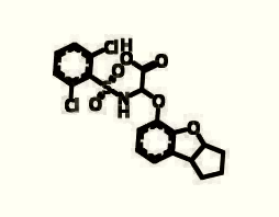 O=C(O)C(NS(=O)(=O)c1c(Cl)cccc1Cl)Oc1cccc2c1OC1CCCC21